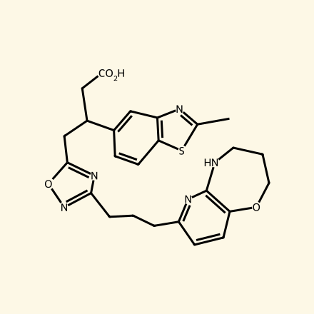 Cc1nc2cc(C(CC(=O)O)Cc3nc(CCCc4ccc5c(n4)NCCCO5)no3)ccc2s1